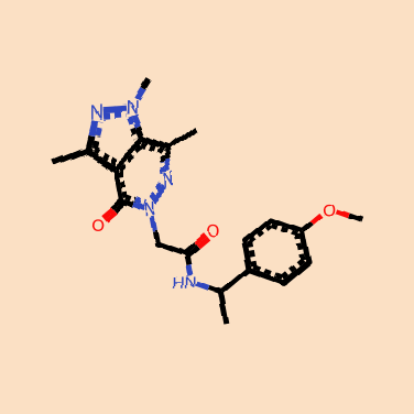 COc1ccc(C(C)NC(=O)Cn2nc(C)c3c(c(C)nn3C)c2=O)cc1